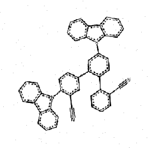 N#Cc1ccccc1-c1ccc(-n2c3ccccc3c3ccccc32)cc1-c1ccc(-n2c3ccccc3c3ccccc32)c(C#N)c1